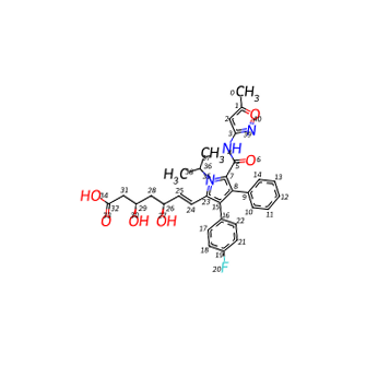 Cc1cc(NC(=O)c2c(-c3ccccc3)c(-c3ccc(F)cc3)c(/C=C/[C@@H](O)C[C@@H](O)CC(=O)O)n2C(C)C)no1